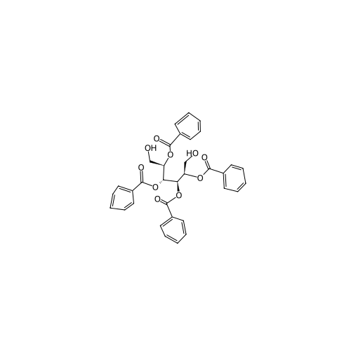 O=C(O[C@@H]([C@H](OC(=O)c1ccccc1)[C@@H](CO)OC(=O)c1ccccc1)[C@@H](CO)OC(=O)c1ccccc1)c1ccccc1